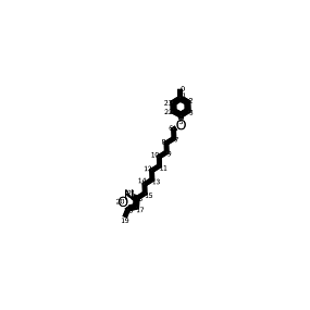 Cc1ccc(OCCCCCCCCCCc2cc(C)on2)cc1